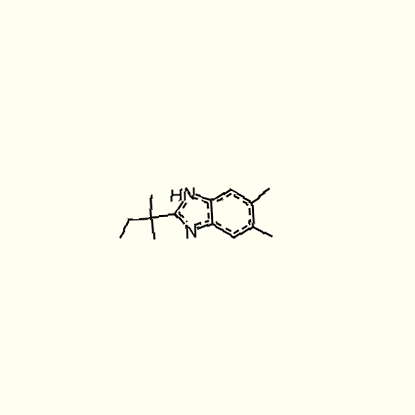 CCC(C)(C)c1nc2cc(C)c(C)cc2[nH]1